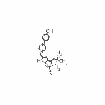 CC(C)(C)Cc1nc(C#N)nc2[nH]c(CN3CCN(c4ccc(O)cc4)CC3)cc12